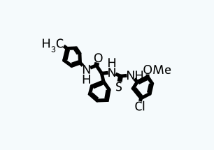 COc1ccc(Cl)cc1NC(=S)NC(C(=O)Nc1ccc(C)cc1)c1ccccc1